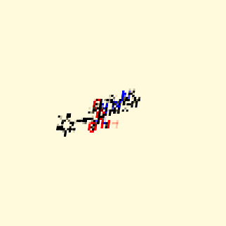 O=C(NO)C(C#Cc1ccccc1)CS(=O)(=O)N1CCN(c2ccccn2)CC1